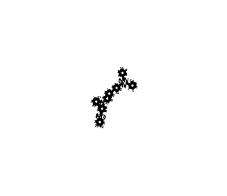 c1ccc(-c2nc(-c3ccccc3)nc(-c3ccc(-c4ccc5cc(-n6c7ccccc7c7cc(-c8nc9ccccc9o8)ccc76)ccc5c4)cc3)n2)cc1